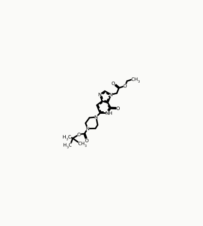 CCOC(=O)Cn1cnc2cc(N3CCN(C(=O)OC(C)(C)C)CC3)[nH]c(=O)c21